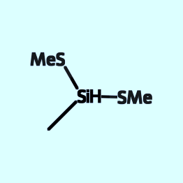 CS[SiH](C)SC